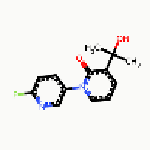 CC(C)(O)c1cccn(-c2ccc(F)nc2)c1=O